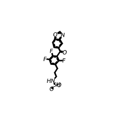 O=C(c1ccc2ocnc2c1)c1c(F)c(F)cc(CCCN[SH](=O)=O)c1F